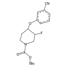 CC(C)(C)OC(=O)N1CCC(Oc2cccc(C#N)c2)C(F)C1